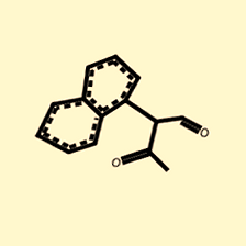 CC(=O)C(C=O)c1cccc2ccccc12